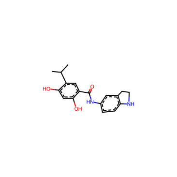 CC(C)c1cc(C(=O)Nc2ccc3c(c2)CCN3)c(O)cc1O